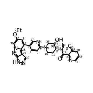 CCOc1cc(-c2ccc(N3CC[C@H](NC(=O)c4ncccc4C(F)(F)F)[C@H](O)C3)nc2)c2c3cn[nH]c3nn2c1